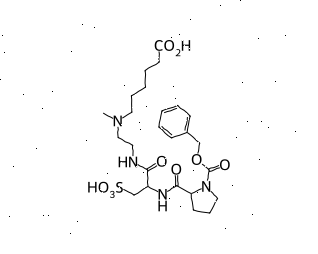 CN(CCCCCC(=O)O)CCNC(=O)C(CS(=O)(=O)O)NC(=O)C1CCCN1C(=O)OCc1ccccc1